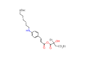 CCCCCCCCCCCCCCCCNc1ccc(C=CC(=O)OC(=O)C(O)(CC)CC(=O)OCC)cc1